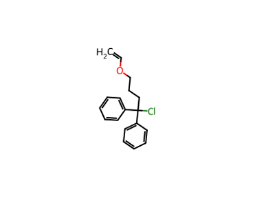 C=COCCCC(Cl)(c1ccccc1)c1ccccc1